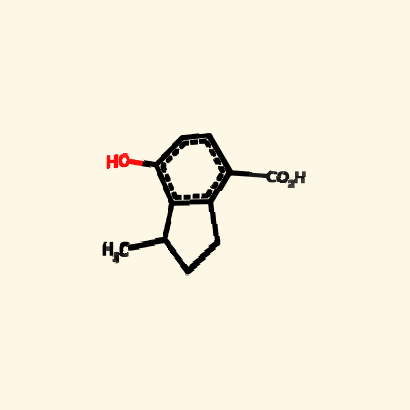 CC1CCc2c(C(=O)O)ccc(O)c21